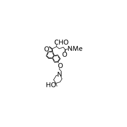 CNC(=O)CCC(C=O)c1coc2ccc3cc(OCCN4CCC(C)(O)CC4)ccc3c12